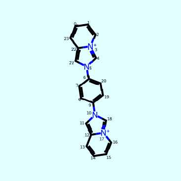 c1cc[n+]2cn(-c3ccc(-n4cc5cccc[n+]5c4)cc3)cc2c1